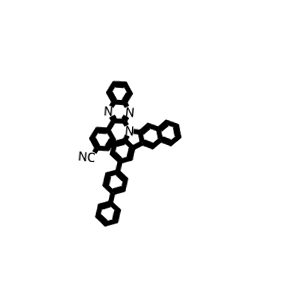 N#Cc1ccc(-c2nc3ccccc3nc2-n2c3ccc(-c4ccc(-c5ccccc5)cc4)cc3c3cc4ccccc4cc32)cc1